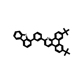 CC(C)(C)c1ccc2c(c1)c1cc(C(C)(C)C)ccc1c1nc(-c3cccc(-c4cccc5c4sc4ccccc45)c3)ccc21